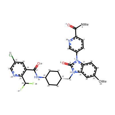 CNC(=O)c1ccc(-n2c(=O)n(C[C@H]3CC[C@H](NC(=O)c4cc(Cl)cnc4C(F)F)CC3)c3cc(OC)ccc32)cn1